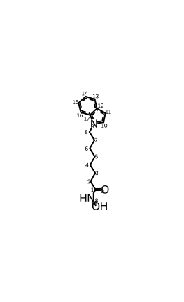 O=C(CCCCCCCn1ccc2ccccc21)NO